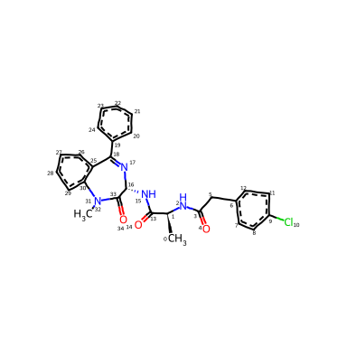 C[C@H](NC(=O)Cc1ccc(Cl)cc1)C(=O)N[C@H]1N=C(c2ccccc2)c2ccccc2N(C)C1=O